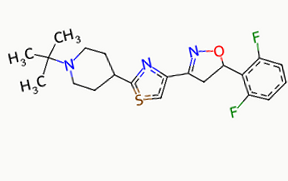 CC(C)(C)N1CCC(c2nc(C3=NOC(c4c(F)cccc4F)C3)cs2)CC1